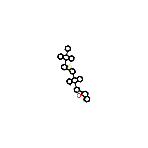 c1ccc(-c2c3ccccc3c(-c3cccc4c3sc3ccc(-c5c6ccccc6c(-c6ccc7oc8c9ccccc9ccc8c7c6)c6ccccc56)cc34)c3ccccc23)cc1